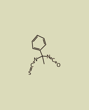 CC(N=C=O)(N=C=S)c1ccccc1